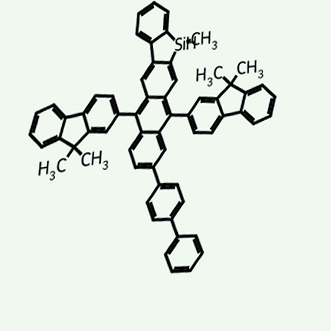 C[SiH]1c2ccccc2-c2cc3c(-c4ccc5c(c4)C(C)(C)c4ccccc4-5)c4ccc(-c5ccc(-c6ccccc6)cc5)cc4c(-c4ccc5c(c4)C(C)(C)c4ccccc4-5)c3cc21